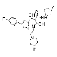 C[C@H]1CC[C@@H](NC(=O)C2=C(O)c3cc(-c4ccc(F)cc4)cnc3N(CCN3CCC(F)CC3)C2O)CC1